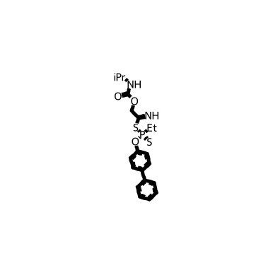 CCP(=S)(Oc1ccc(-c2ccccc2)cc1)SC(=N)COC(=O)NC(C)C